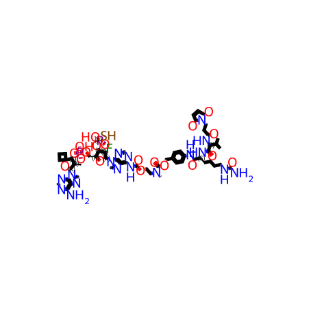 CC(C)[C@H](NC(=O)CCN1C(=O)C=CC1=O)C(=O)N[C@@H](CCCCNC(N)=O)C(=O)Nc1ccc(COC(=O)N(C)CCOC(=O)Nc2ncnc3c2ncn3[C@@H]2O[C@H](COP(=O)(O)O[C@H]3[C@@H](C)[C@H](n4cnc5c(N)ncnc54)OC34CCC4)[C@@H](O[P@@](=O)(O)S)[C@H]2F)cc1